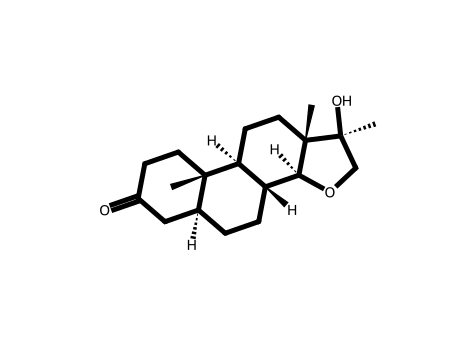 C[C@]12CCC(=O)C[C@@H]1CC[C@@H]1[C@@H]2CC[C@@]2(C)[C@H]1OC[C@]2(C)O